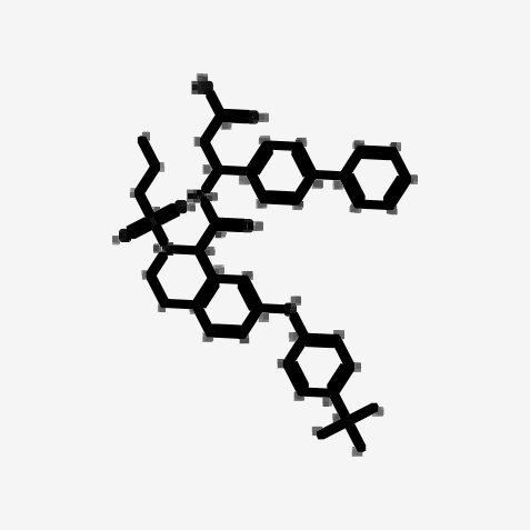 CCCS(=O)(=O)N1CCc2ccc(Oc3ccc(C(C)(C)C)cc3)cc2C1C(=O)NC(CC(=O)O)c1ccc(-c2ccccc2)cc1